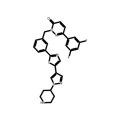 O=c1ccc(-c2cc(F)cc(F)c2)nn1Cc1cccc(-c2ncc(-c3cnn(C4CCNCC4)c3)s2)c1